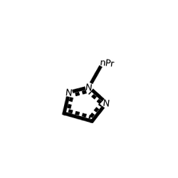 C[CH]Cn1nccn1